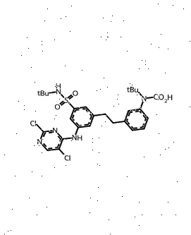 CC(C)(C)NS(=O)(=O)c1cc(CCc2cccc(N(C(=O)O)C(C)(C)C)c2)cc(Nc2nc(Cl)ncc2Cl)c1